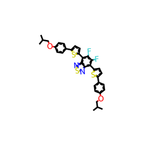 CC(C)COc1ccc(-c2ccc(-c3c(F)c(F)c(-c4ccc(-c5ccc(OCC(C)C)cc5)s4)c4nsnc34)s2)cc1